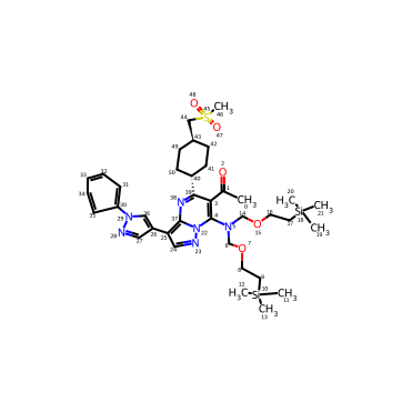 CC(=O)c1c(N(COCC[Si](C)(C)C)COCC[Si](C)(C)C)n2ncc(-c3cnn(-c4ccccc4)c3)c2nc1[C@H]1CC[C@H](CS(C)(=O)=O)CC1